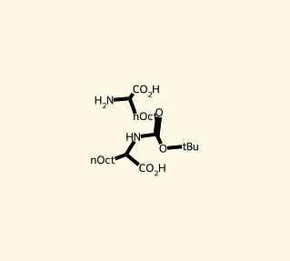 CCCCCCCCC(N)C(=O)O.CCCCCCCCC(NC(=O)OC(C)(C)C)C(=O)O